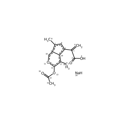 C=C(C(=O)O)c1cc(C)c2coc(OC(C)=O)c(C)c1-2.[NaH]